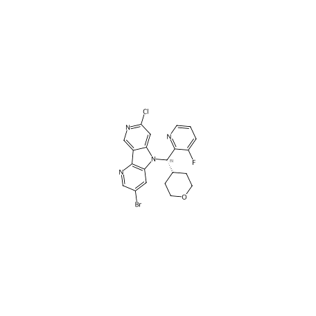 Fc1cccnc1[C@H](C1CCOCC1)n1c2cc(Cl)ncc2c2ncc(Br)cc21